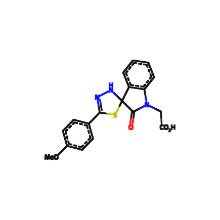 COc1ccc(C2=NNC3(S2)C(=O)N(CC(=O)O)c2ccccc23)cc1